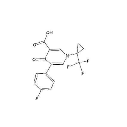 O=C(O)c1cn(C2(C(F)(F)F)CC2)cc(-c2ccc(F)cc2)c1=O